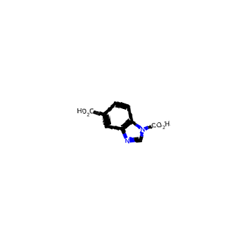 O=C(O)c1ccc2c(c1)ncn2C(=O)O